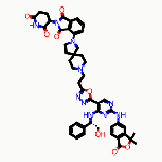 CC1(C)OC(=O)c2ccc(Nc3ncc(-c4nnc(CCN5CCC6(CC5)CCN(c5cccc7c5C(=O)N(C5CCC(=O)NC5=O)C7=O)C6)o4)c(N[C@H](CO)c4ccccc4)n3)cc21